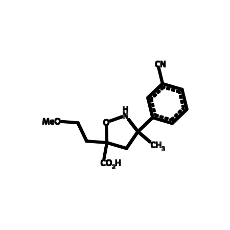 COCCC1(C(=O)O)CC(C)(c2cccc(C#N)c2)NO1